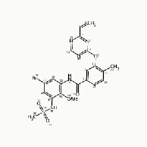 C=Cc1cc(Oc2cc(C(=O)Nc3cc(C(C)(C)C)cc(NS(C)(=O)=O)c3OC)ccc2C)ncn1